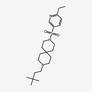 CCc1ccc(S(=O)(=O)N2CCC3(CCN(CCC(C)(C)C)CC3)CC2)cn1